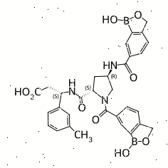 Cc1cccc([C@H](CC(=O)O)NC(=O)[C@@H]2C[C@@H](NC(=O)c3ccc4c(c3)B(O)OC4)CN2C(=O)c2ccc3c(c2)B(O)OC3)c1